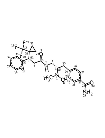 CN(C)[C@H](CNC(=O)C[C@@H](c1ccccn1)C1(C(F)(F)F)CC1)Cc1ccc(C(N)=O)cc1